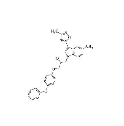 Cc1ccc2c(c1)c(-c1nc(C)no1)cn2CC(=O)COc1ccc(Oc2ccccc2)cc1